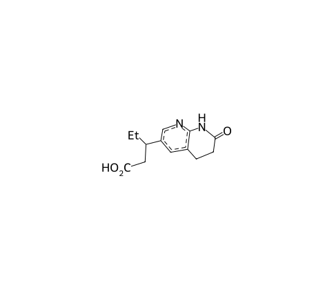 CCC(CC(=O)O)c1cnc2c(c1)CCC(=O)N2